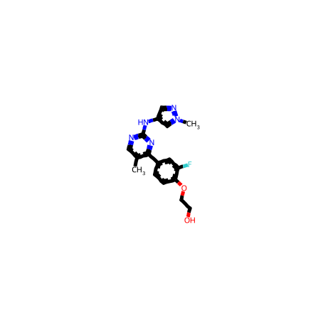 Cc1cnc(Nc2cnn(C)c2)nc1-c1ccc(OCCO)c(F)c1